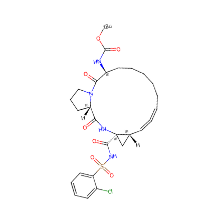 CC(C)(C)OC(=O)N[C@H]1CCCCCC=C=C[C@@H]2C[C@@]2(C(=O)NS(=O)(=O)c2ccccc2Cl)NC(=O)[C@@H]2CCCN2C1=O